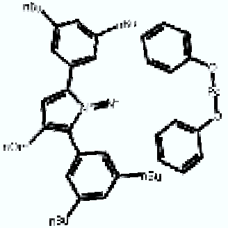 CCCCCCCCC1=C(c2cc(CCCC)cc(CCCC)c2)[N+](=[N-])C(c2cc(CCCC)cc(CCCC)c2)=C1.c1ccc([O][Pd][O]c2ccccc2)cc1